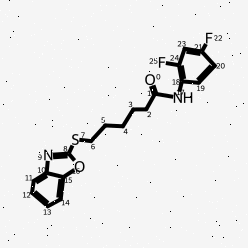 O=C(CCCCCSc1nc2ccccc2o1)Nc1ccc(F)cc1F